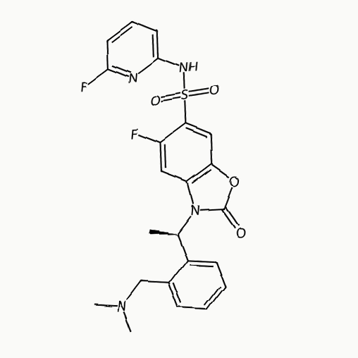 C[C@H](c1ccccc1CN(C)C)n1c(=O)oc2cc(S(=O)(=O)Nc3cccc(F)n3)c(F)cc21